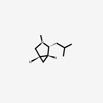 CC(C)C[C@@H]1[C@@H]2C[C@@H]2CN1C